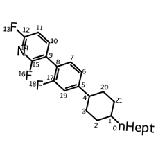 CCCCCCCC1CCC(c2ccc(-c3ccc(F)nc3F)c(F)c2)CC1